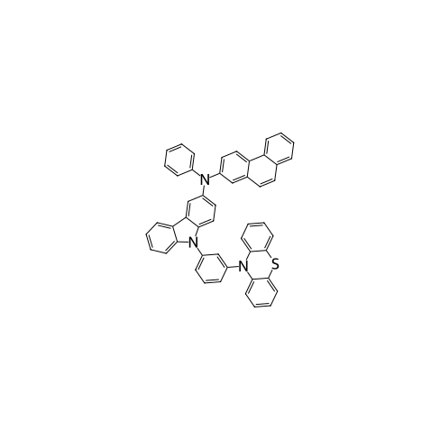 c1ccc(N(c2ccc3c(ccc4ccccc43)c2)c2ccc3c(c2)c2ccccc2n3-c2cccc(N3c4ccccc4Sc4ccccc43)c2)cc1